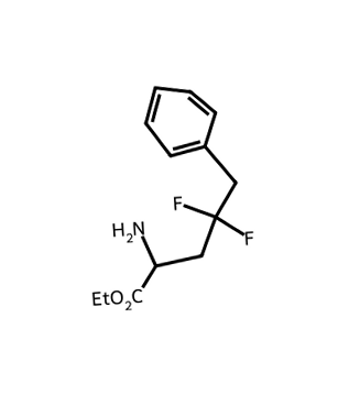 CCOC(=O)C(N)CC(F)(F)Cc1ccccc1